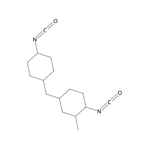 CC1CC(CC2CCC(N=C=O)CC2)CCC1N=C=O